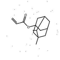 C=CC(=O)OC12CC3CC(C1)C(C)C(C)(C3)C2